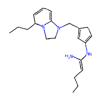 CCC/C=C(\N)NC1=CCC(CN2CCN3C2=CC=CC3CCC)=C1